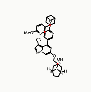 COc1ccc(CN2C3CC2CN(c2ccc(-c4cc(OCCN5[C@@H]6CC[C@H]5C[C@@H](O)C6)cn5ncc(C#N)c45)cn2)C3)cn1